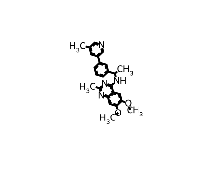 COc1cc2nc(C)nc(NC(C)c3cccc(-c4cncc(C)c4)c3)c2cc1OC